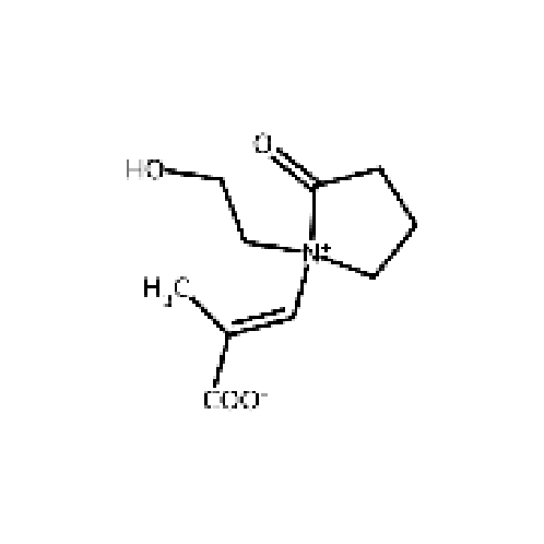 CC(=C[N+]1(CCO)CCCC1=O)C(=O)[O-]